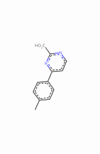 Cc1ccc(-c2ccnc(C(=O)O)n2)cc1